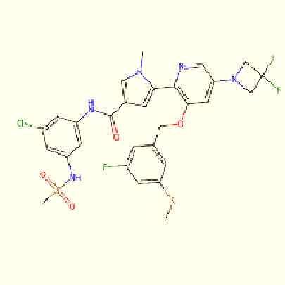 CSc1cc(F)cc(COc2cc(N3CC(F)(F)C3)cnc2-c2cc(C(=O)Nc3cc(Cl)cc(NS(C)(=O)=O)c3)cn2C)c1